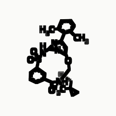 Cc1cccc(C)c1-c1cc2nc(n1)NS(=O)(=O)c1cccc(c1)C(=O)N[C@@H](CC1(C(F)(F)F)CC1)CO2